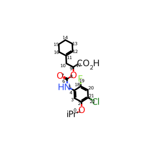 CC(C)Oc1cc(NC(=O)OC(CC2=CCCCC2)C(=O)O)c(F)cc1Cl